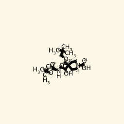 CC(C)(C)COC(=O)C1(C(O)CNC(=O)OC(C)(C)C)CCN(C(=O)O)CC1